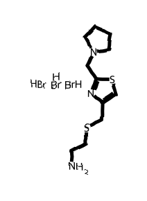 Br.Br.Br.NCCSCc1csc(CN2CCCC2)n1